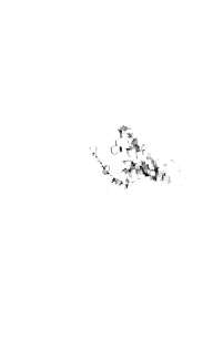 CC[C@H](C)[C@@H]([C@@H](CCN1CCC[C@H]1[C@H](OC)[C@@H](C)C(=O)NC(Cc1ccccc1)C(=O)OC)OC)N(C)C(=O)[C@@H](NC(=O)[C@H](C(C)C)N(C)C(=O)CCCNC(=O)C(C)NC(=O)CCOCCOCCN)C(C)C